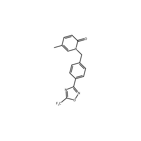 Cc1ccc(=O)n(Cc2ccc(-c3noc(C(F)(F)F)n3)cc2)c1